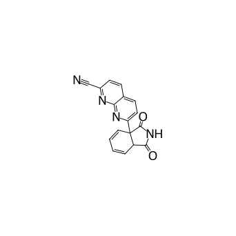 N#Cc1ccc2ccc(C34C=CC=CC3C(=O)NC4=O)nc2n1